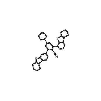 N#Cc1c(-c2ccc3c(c2)sc2ccccc23)cc(-c2ccccc2)cc1-c1cccc2c1sc1ccccc12